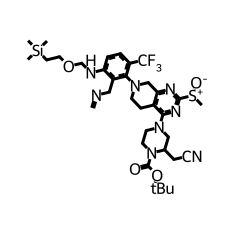 C=NCc1c(NCOCC[Si](C)(C)C)ccc(C(F)(F)F)c1N1CCc2c(nc([S+](C)[O-])nc2N2CCN(C(=O)OC(C)(C)C)C(CC#N)C2)C1